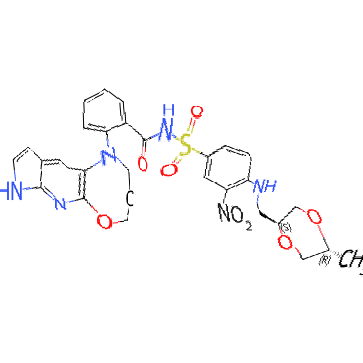 C[C@@H]1CO[C@@H](CNc2ccc(S(=O)(=O)NC(=O)c3ccccc3N3CCCOc4nc5[nH]ccc5cc43)cc2[N+](=O)[O-])CO1